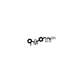 O=C(O)CNCc1ccc(-c2nnc(-c3ccccc3F)o2)cc1